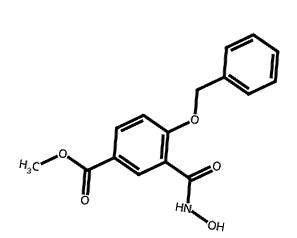 COC(=O)c1ccc(OCc2ccccc2)c(C(=O)NO)c1